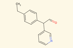 CCc1ccc(C(C=O)c2cccnc2)cc1